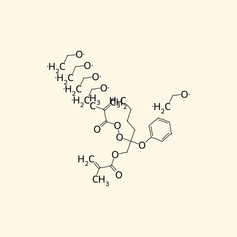 C=C(C)C(=O)OCC(CCCC)(OOC(=O)C(=C)C)Oc1ccccc1.[CH2]C[O].[CH2]C[O].[CH2]C[O].[CH2]C[O].[CH2]C[O]